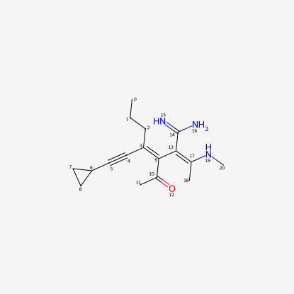 CCC/C(C#CC1CC1)=C(C(C)=O)\C(C(=N)N)=C(/C)NC